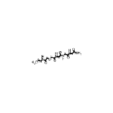 BC(=O)CNC(=O)CNC(=O)CNC(=O)COCC(=O)N/N=C/C